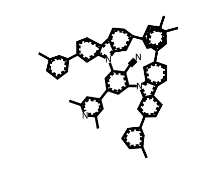 Cc1cccc(-c2ccc3c4ccc(-c5cccc(C)c5)cc4n(-c4cc(-c5cc(C)nc(C)c5)cc(-n5c6cc(-c7cccc(C)c7)ccc6c6ccc(-c7cccc(C)c7)cc65)c4C#N)c3c2)c1